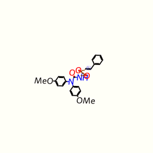 COc1ccc(N(C(=O)NS(=O)(=O)/C=C/c2ccccc2)c2ccc(OC)cc2)cc1